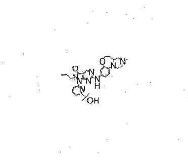 C=CCn1c(=O)c2cnc(Nc3ccc4c(c3)OCCC3CN(C)CCN43)nc2n1-c1cccc(C(C)(C)O)n1